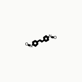 O=C=Nc1ccc(C=Cc2ccc(N=C=O)cc2)cc1